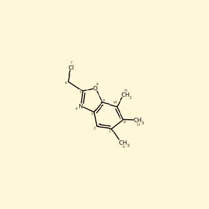 Cc1cc2nc(CCl)oc2c(C)c1C